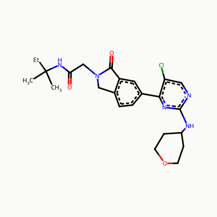 CCC(C)(C)NC(=O)CN1Cc2ccc(-c3nc(NC4CCOCC4)ncc3Cl)cc2C1=O